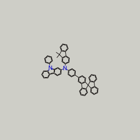 CC1(C)c2ccccc2-c2ccc(N(c3ccc(-c4ccc5c(c4)-c4ccccc4C54c5ccccc5-c5ccccc54)cc3)c3ccc4c5ccccc5n(-c5ccccc5)c4c3)cc21